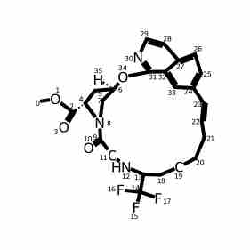 COC(=O)[C@@H]1C[C@@H]2CN1C(=O)CNC(C(F)(F)F)CCCCC=Cc1ccc3ccnc(c3c1)O2